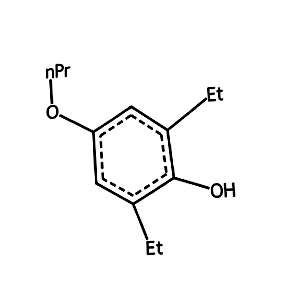 CCCOc1cc(CC)c(O)c(CC)c1